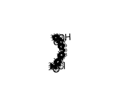 CCC(O)(C(=O)N1CCC(CC2CCN(c3ccc(C(=O)N(C)C)c(Cl)c3)CC2)CC1)c1ccccc1